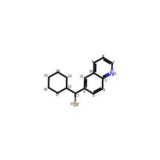 BrC(c1ccc2ncccc2c1)C1CCCCC1